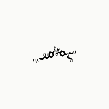 C/C=C/C(C)=C/c1ccc(NS(=O)(=O)c2ccc(N(CCCl)CCCl)cc2)cc1